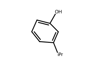 [CH2]C(C)c1cccc(O)c1